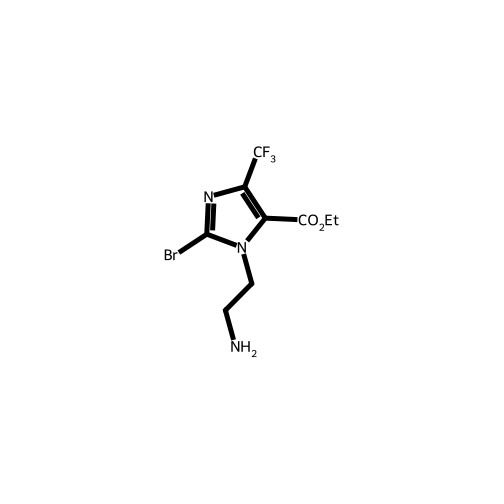 CCOC(=O)c1c(C(F)(F)F)nc(Br)n1CCN